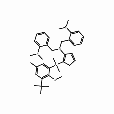 COc1c(C(C)(C)C)cc(C)cc1[Si](C)(C)C1=[C]([Lu]([CH2]c2ccccc2N(C)C)[CH2]c2ccccc2N(C)C)C=CC1